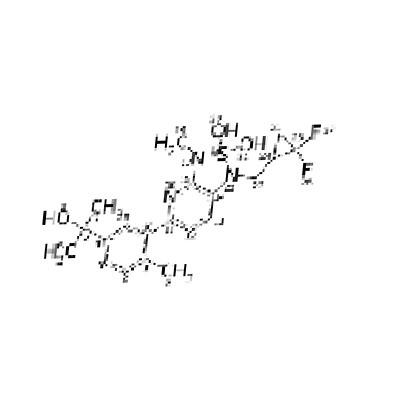 Cc1ccc(C(C)(C)O)cc1-c1ccc2c(n1)N(C)S(O)(O)N2CC1CC1(F)F